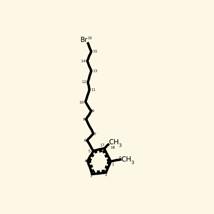 Cc1cccc(CCCCCCCCCCBr)c1C